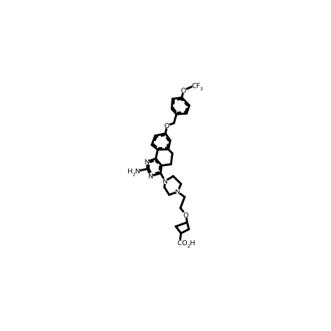 Nc1nc2c(c(N3CCN(CCOC4CC(C(=O)O)C4)CC3)n1)CCc1cc(OCc3ccc(OC(F)(F)F)cc3)ccc1-2